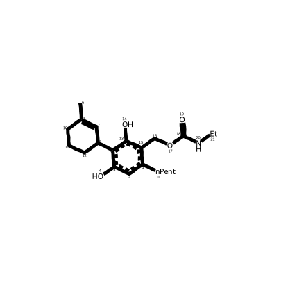 CCCCCc1cc(O)c(C2C=C(C)CCC2)c(O)c1COC(=O)NCC